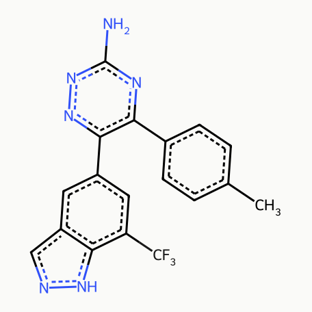 Cc1ccc(-c2nc(N)nnc2-c2cc(C(F)(F)F)c3[nH]ncc3c2)cc1